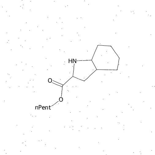 CCCCCOC(=O)C1CC2CCCCC2N1